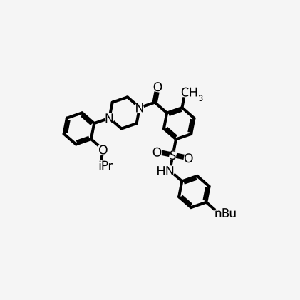 CCCCc1ccc(NS(=O)(=O)c2ccc(C)c(C(=O)N3CCN(c4ccccc4OC(C)C)CC3)c2)cc1